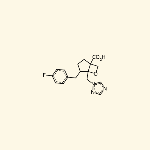 O=C(O)C12CCC(Cc3ccc(F)cc3)C1(Cn1cncn1)OC2